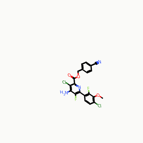 COc1c(Cl)ccc(-c2nc(C(=O)OCc3ccc(C#N)cc3)c(Cl)c(N)c2F)c1F